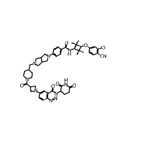 CC1(C)C(NC(=O)c2ccc(N3CC4CN(CC5CCN(C(=O)C6CN(c7ccc8nnn(C9CCC(=O)NC9=O)c(=O)c8c7)C6)CC5)CC4C3)cc2)C(C)(C)C1Oc1ccc(C#N)c(Cl)c1